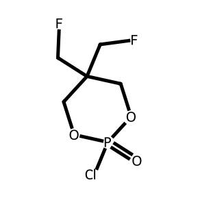 O=P1(Cl)OCC(CF)(CF)CO1